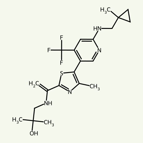 C=C(NCC(C)(C)O)c1nc(C)c(-c2cnc(NCC3(C)CC3)cc2C(F)(F)F)s1